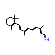 CC(C=CC=C(C)C=CC1=C(C)CCCC1(C)C)=CC=N